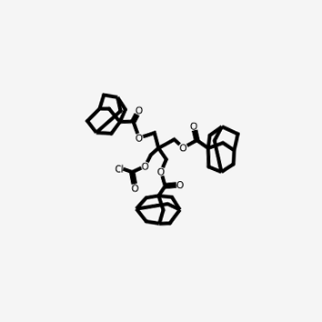 O=C(Cl)OCC(COC(=O)C12CC3CC(CC(C3)C1)C2)(COC(=O)C12CC3CC(CC(C3)C1)C2)COC(=O)C12CC3CC(CC(C3)C1)C2